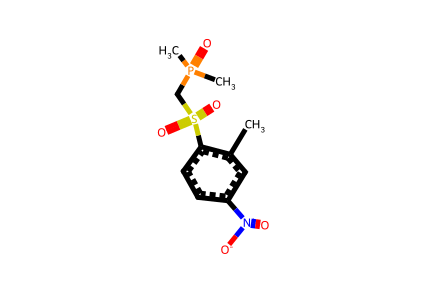 Cc1cc([N+](=O)[O-])ccc1S(=O)(=O)CP(C)(C)=O